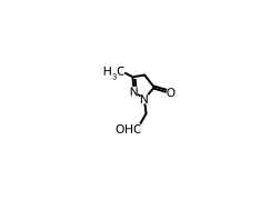 CC1=NN(CC=O)C(=O)C1